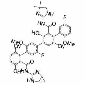 COc1cc(-c2cc(C#N)c(-c3cc(F)ccc3OC)c(C(=O)NC3=NC(C)(C)CN3)c2O)c(F)cc1-c1c(C#N)ccc(O)c1C(=O)NC1=NC2CC2N1